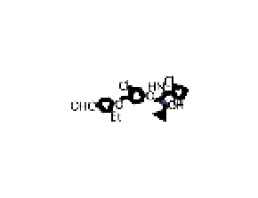 CCc1cc(C=O)ccc1OCc1ccc(OC/C(C(=N)c2c(Cl)cccc2Cl)=C(/O)C2CC2)cc1Cl